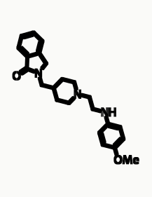 COc1ccc(NCCN2CCC(CN3Cc4ccccc4C3=O)CC2)cc1